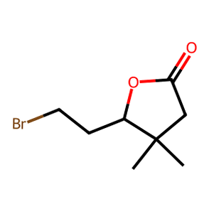 CC1(C)CC(=O)OC1CCBr